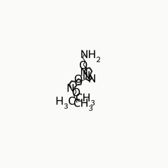 CC(C)(C)COc1nccc2oc(-c3cnc4ccc(OCCN)nn34)cc12